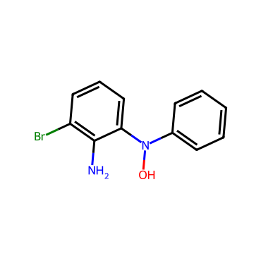 Nc1c(Br)cccc1N(O)c1ccccc1